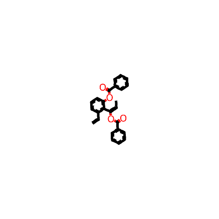 C=Cc1cccc(OC(=O)c2ccccc2)c1/C(=C\C)OC(=O)c1ccccc1